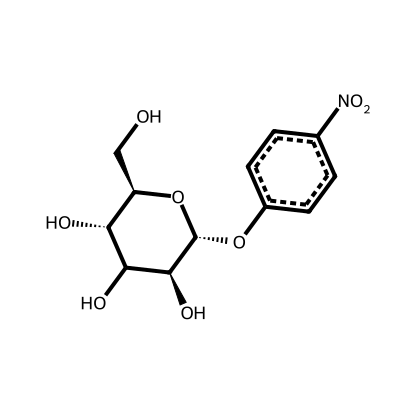 O=[N+]([O-])c1ccc(O[C@H]2O[C@H](CO)[C@@H](O)C(O)[C@@H]2O)cc1